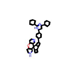 C1=CC2=C(CN1)C1(c3cnccc3O2)c2ccccc2-c2ccc(-c3ccc(C4C=C(c5ccccc5)N=C(c5ccccc5)N4)cc3)cc21